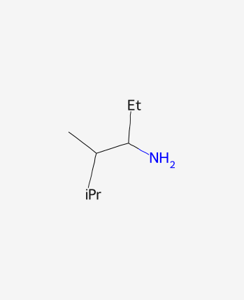 CCC(N)C(C)C(C)C